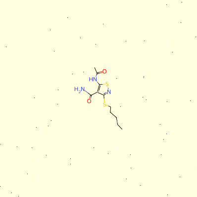 CCCCCSc1nsc(NC(C)=O)c1C(N)=O